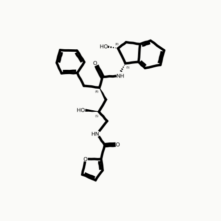 O=C(NC[C@@H](O)C[C@@H](Cc1ccccc1)C(=O)N[C@H]1c2ccccc2C[C@H]1O)c1ccco1